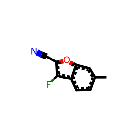 Cc1ccc2c(F)c(C#N)oc2c1